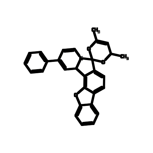 CC1=CC(C)OC2(O1)c1ccc3c(oc4ccccc43)c1C1C=C(c3ccccc3)C=CN12